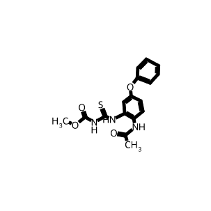 COC(=O)NC(=S)Nc1cc(Oc2ccccc2)ccc1NC(C)=O